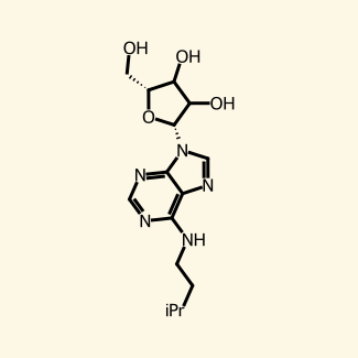 CC(C)CCNc1ncnc2c1ncn2[C@@H]1O[C@H](CO)C(O)C1O